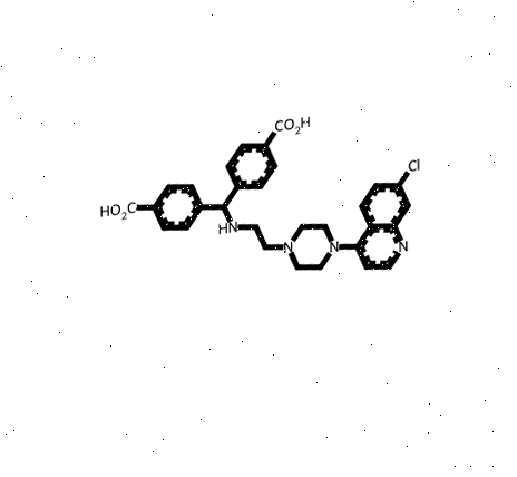 O=C(O)c1ccc(C(NCCN2CCN(c3ccnc4cc(Cl)ccc34)CC2)c2ccc(C(=O)O)cc2)cc1